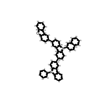 c1ccc(-n2c3ccccc3c3cc(-c4ccc5c(c4)c4cc(-c6ccc7oc8ccccc8c7c6)ccc4n5-c4ccc5ccccc5c4)ccc32)cc1